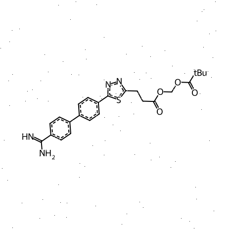 CC(C)(C)C(=O)OCOC(=O)CCc1nnc(-c2ccc(-c3ccc(C(=N)N)cc3)cc2)s1